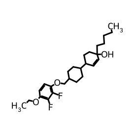 CCCCCC1(O)C=CC(C2CCC(COc3ccc(OCC)c(F)c3F)CC2)CC1